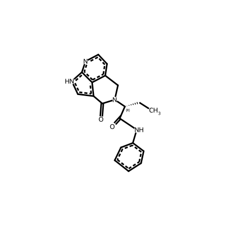 CC[C@H](C(=O)Nc1ccccc1)N1Cc2ccnc3[nH]cc(c23)C1=O